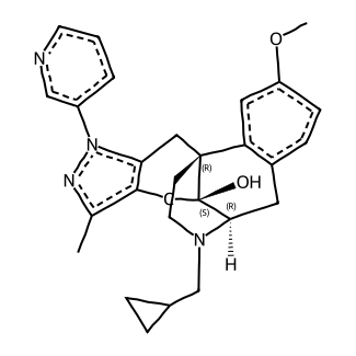 COc1ccc2c(c1)[C@]13CCN(CC4CC4)[C@H](C2)[C@]1(O)Cc1c(C)nn(-c2cccnc2)c1C3